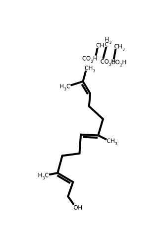 CC(=O)O.CC(=O)O.CC(=O)O.CC(C)=CCCC(C)=CCCC(C)=CCO